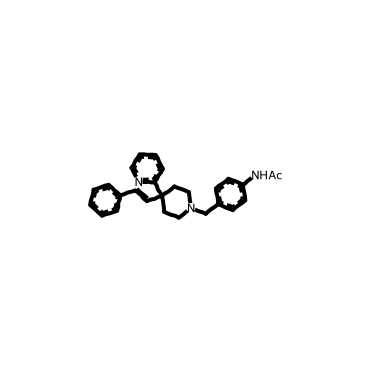 CC(=O)Nc1ccc(CN2CCC(C=Cc3ccccc3)(c3ccccn3)CC2)cc1